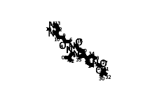 CC(C)c1nn(CC(=O)CCc2ccncn2)c(=O)c2cc(C3CCN(C(=O)OC(C)(C)C)CC3)cn12